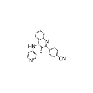 N#Cc1ccc(-c2nc3ccccc3c(Nc3ccncc3)c2F)cc1